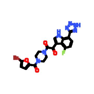 O=C(C(=O)N1CCN(C(=O)c2ccc(Br)o2)CC1)c1c[nH]c2c(-c3nn[nH]n3)ccc(F)c12